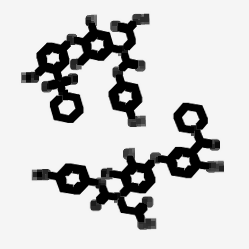 O=C(O)CN(C(=O)Oc1ccc(O)cc1)c1cc(Cl)c(Oc2ccc(O)c(S(=O)(=O)N3CCCCC3)c2)c(Cl)c1.O=C(O)CN(C(=O)Oc1ccc(O)cc1)c1ccc(Oc2ccc(O)c(C(=O)N3CCCCC3)c2)c(Cl)c1Cl